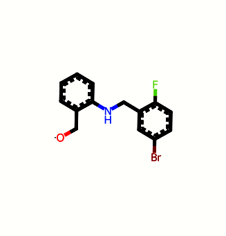 [O]Cc1ccccc1NCc1cc(Br)ccc1F